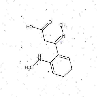 C/N=C(\CC(=O)O)C1=CCCC=C1NC